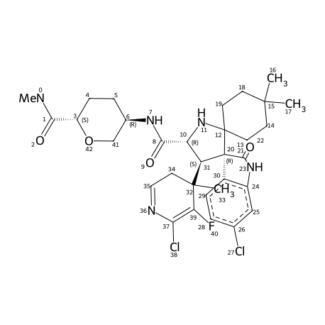 CNC(=O)[C@@H]1CC[C@@H](NC(=O)[C@@H]2NC3(CCC(C)(C)CC3)[C@@]3(C(=O)Nc4cc(Cl)ccc43)[C@H]2C2(C)CC=NC(Cl)=C2F)CO1